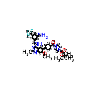 COc1cc2nc(C)nc(NCc3cc(N)cc(C(F)(F)F)c3)c2cc1C1CCC(C(=O)N2CCN(C(=O)OC(C)(C)C)CC2)CC1